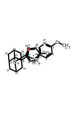 COc1ccc(NC(=O)C23CC4CC(C2)N(c2cnc(Cl)cn2)C(C4)C3)cn1